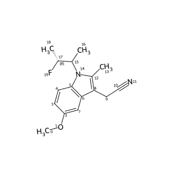 COc1ccc2c(c1)c(CC#N)c(C)n2C(C)[C@@H](C)F